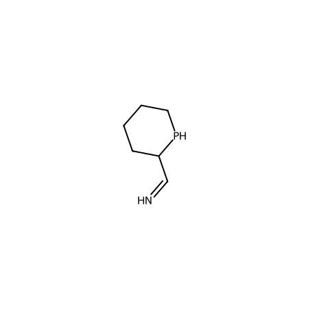 N=CC1CCCCP1